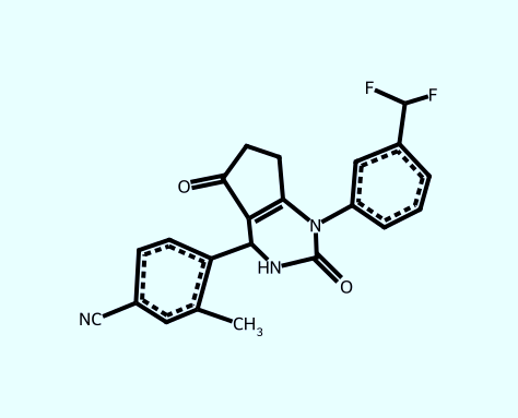 Cc1cc(C#N)ccc1C1NC(=O)N(c2cccc(C(F)F)c2)C2=C1C(=O)CC2